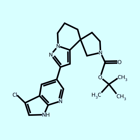 CC(C)(C)OC(=O)N1CCC2(CCCn3nc(-c4cnc5[nH]cc(Cl)c5c4)cc32)C1